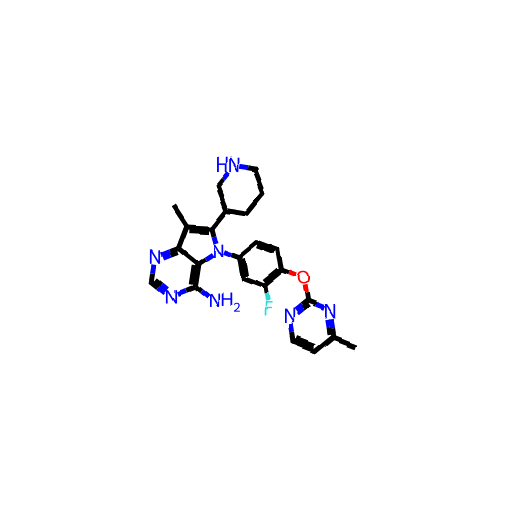 Cc1ccnc(Oc2ccc(-n3c(C4CCCNC4)c(C)c4ncnc(N)c43)cc2F)n1